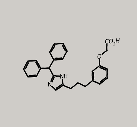 O=C(O)COc1cccc(CCCc2cnc(C(c3ccccc3)c3ccccc3)[nH]2)c1